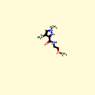 COCCNC(=O)c1nn(C)cc1C